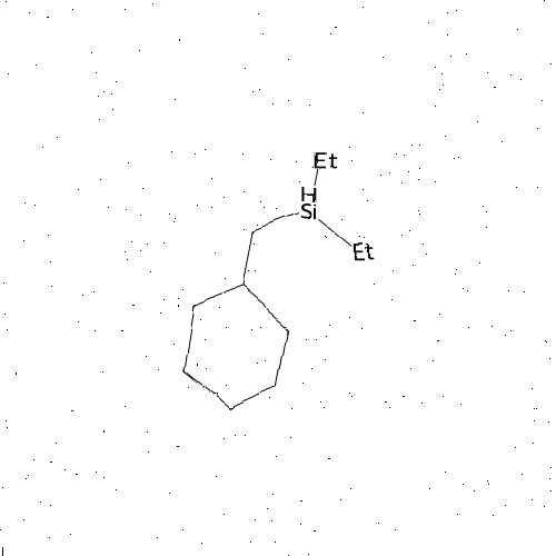 CC[SiH](CC)CC1CCCCC1